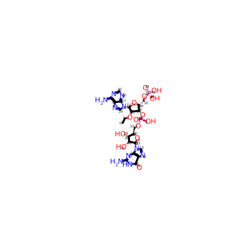 CCO[C@@H]1[C@H](OP(=O)(O)OC[C@H]2O[C@@H](n3cnc4c(=O)[nH]c(N)nc43)[C@H](O)[C@@H]2O)[C@@H](COP(=O)(O)O)O[C@H]1n1cnc2c(N)ncnc21